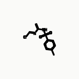 C=C(/N=C/Cl)NS(=O)(=O)c1ccc(C)cc1